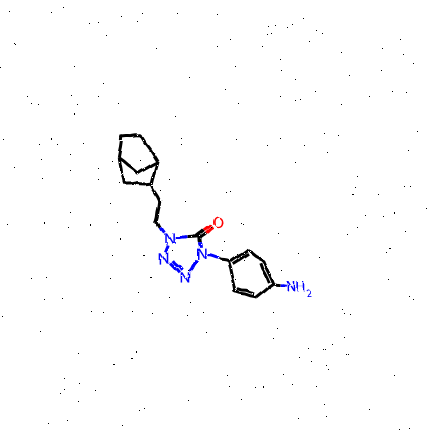 Nc1ccc(-n2nnn(CCC3CC4CCC3C4)c2=O)cc1